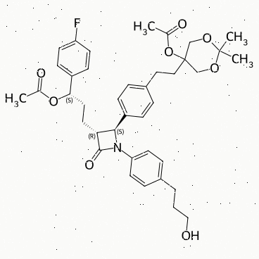 CC(=O)O[C@@H](CC[C@H]1C(=O)N(c2ccc(CCCO)cc2)[C@@H]1c1ccc(CCC2(OC(C)=O)COC(C)(C)OC2)cc1)c1ccc(F)cc1